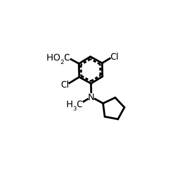 CN(c1cc(Cl)cc(C(=O)O)c1Cl)C1CCCC1